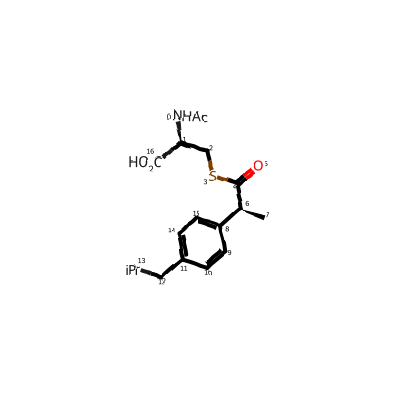 CC(=O)N[C@@H](CSC(=O)[C@@H](C)c1ccc(CC(C)C)cc1)C(=O)O